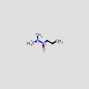 CCC[N+](=O)N(C)C